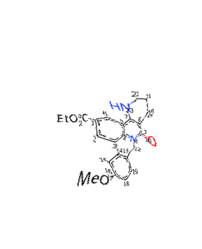 CCOC(=O)c1ccc2c(c1)c1c(c(=O)n2Cc2ccc(OC)cc2)CCCN1